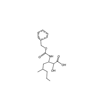 CCCC(C)CC(NC(=O)OCc1ccccc1)C(O)C(=O)O